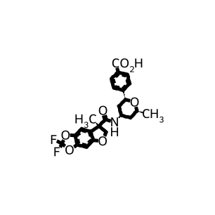 C[C@@H]1C[C@H](NC(=O)[C@@]2(C)COc3cc4c(cc32)OC(F)(F)O4)C[C@H](c2ccc(C(=O)O)cc2)O1